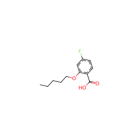 CCCCCOc1cc(F)ccc1C(=O)O